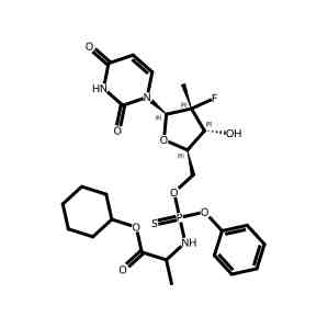 CC(NP(=S)(OC[C@H]1O[C@@H](n2ccc(=O)[nH]c2=O)[C@](C)(F)[C@@H]1O)Oc1ccccc1)C(=O)OC1CCCCC1